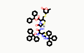 Cc1cc(SCC2=C(C(=O)OC(c3ccccc3)c3ccccc3)N3C(=O)[C@@H](NC(=O)/C(=N\OC(c4ccccc4)(c4ccccc4)c4ccccc4)c4csc(NC(c5ccccc5)(c5ccccc5)c5ccccc5)n4)[C@@H]3SC2)cc(=O)o1